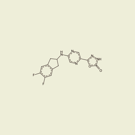 O=c1[nH]nc(-c2cnc(NC3Cc4cc(F)c(F)cc4C3)cn2)o1